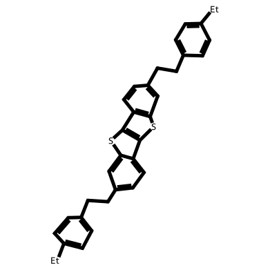 CCc1ccc(CCc2ccc3c(c2)sc2c4ccc(CCc5ccc(CC)cc5)cc4sc32)cc1